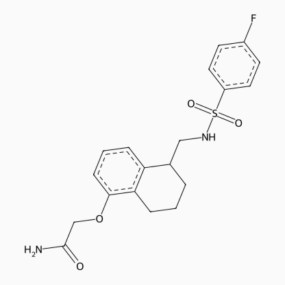 NC(=O)COc1cccc2c1CCCC2CNS(=O)(=O)c1ccc(F)cc1